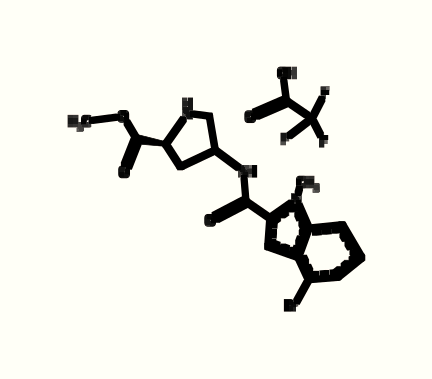 COC(=O)[C@@H]1CC(NC(=O)c2cc3c(Br)cccc3n2C)CN1.O=C(O)C(F)(F)F